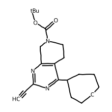 C#Cc1nc2c(c(C3CCCCCC3)n1)CCN(C(=O)OC(C)(C)C)C2